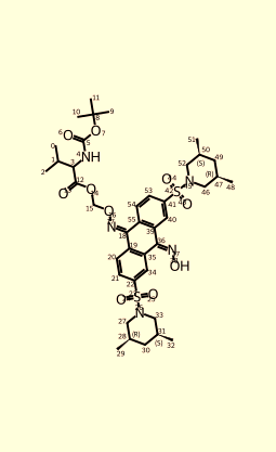 CC(C)C(NC(=O)OC(C)(C)C)C(=O)OCON=C1c2ccc(S(=O)(=O)N3C[C@H](C)C[C@H](C)C3)cc2C(=NO)c2cc(S(=O)(=O)N3C[C@H](C)C[C@H](C)C3)ccc21